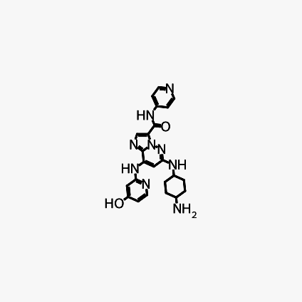 NC1CCC(Nc2cc(Nc3cc(O)ccn3)c3ncc(C(=O)Nc4ccncc4)n3n2)CC1